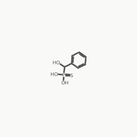 OC(c1ccccc1)P(O)(O)=S